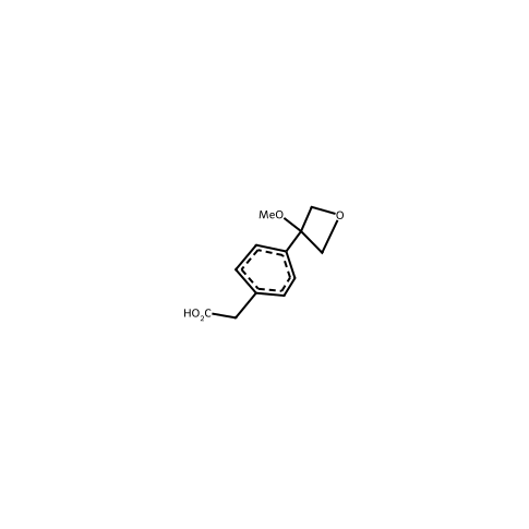 COC1(c2ccc(CC(=O)O)cc2)COC1